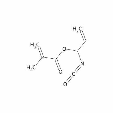 C=CC(N=C=O)OC(=O)C(=C)C